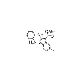 COC(=O)c1c(Nc2ccccc2N)sc2ccc(C)cc12